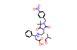 CC(C=O)C[C@H](CN[C@@H](CC(=O)O)c1ccccc1)N1C(=O)N(Cc2ccc([N+](=O)[O-])cc2)C(C)(C)C1=O